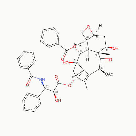 CC(=O)O[C@@H]1C(=O)[C@@]2(C)[C@H](O)C[C@@H]3OC[C@]3(OC(C)=O)[C@@H]2[C@@H](OC(=O)c2ccccc2)[C@@]2(O)C[C@@H](OC(=O)[C@@H](O)[C@H](NC(=O)c3ccccc3)c3ccccc3)C(C)=C1C2(C)C